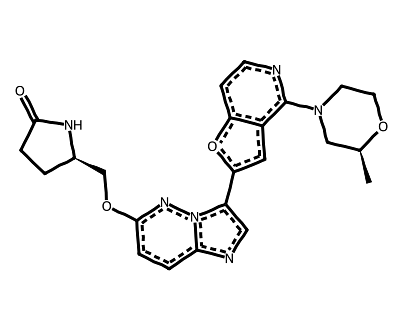 C[C@H]1CN(c2nccc3oc(-c4cnc5ccc(OC[C@H]6CCC(=O)N6)nn45)cc23)CCO1